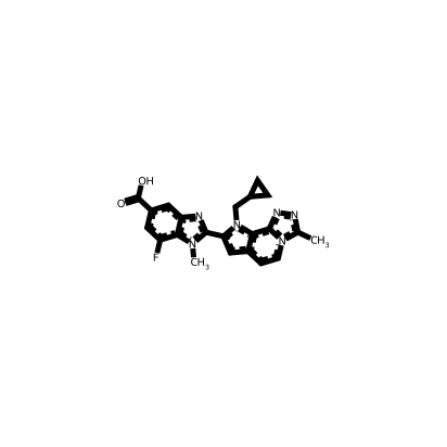 Cc1nnc2c3c(ccn12)cc(-c1nc2cc(C(=O)O)cc(F)c2n1C)n3CC1CC1